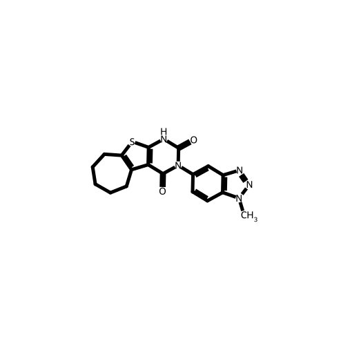 Cn1nnc2cc(-n3c(=O)[nH]c4sc5c(c4c3=O)CCCCC5)ccc21